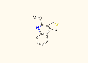 COc1nc2ccccc2c2c1CSC2